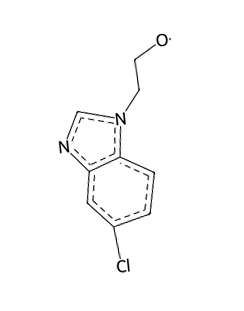 [O]CCn1cnc2cc(Cl)ccc21